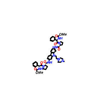 COC(=O)N[C@@H](C(=O)N1CCC[C@H]1C(=O)Nc1ccc2c3ccc(NC(=O)[C@@H]4CCCN4C(=O)[C@H](NC(=O)OC)c4ccccc4)cc3n(CCN3CCN(C)CC3)c2c1)c1ccccc1